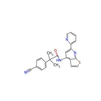 CC(C)(C(=O)Nc1cc(-c2ccccn2)nc2sccc12)c1ccc(C#N)cc1